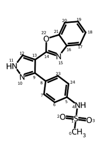 CS(=O)(=O)Nc1ccc(-c2n[nH]cc2-c2nc3ccccc3o2)cc1